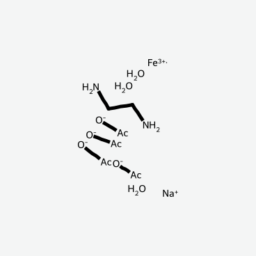 CC(=O)[O-].CC(=O)[O-].CC(=O)[O-].CC(=O)[O-].NCCN.O.O.O.[Fe+3].[Na+]